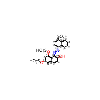 O=S(=O)(O)Oc1cc(OS(=O)(=O)O)c2c(N=Nc3ccc(S(=O)(=O)O)c4ccccc34)c(O)ccc2c1